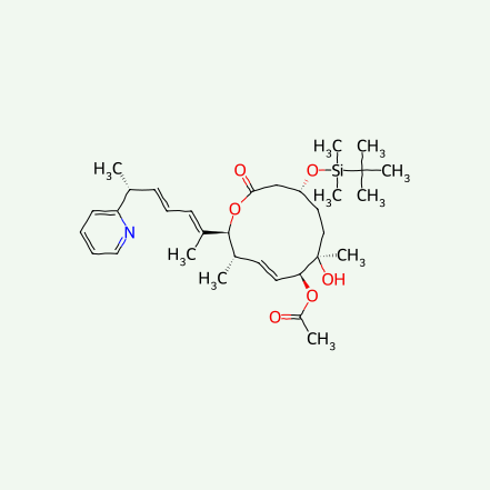 CC(=O)O[C@H]1/C=C/[C@H](C)[C@@H](/C(C)=C/C=C/[C@@H](C)c2ccccn2)OC(=O)C[C@H](O[Si](C)(C)C(C)(C)C)CC[C@@]1(C)O